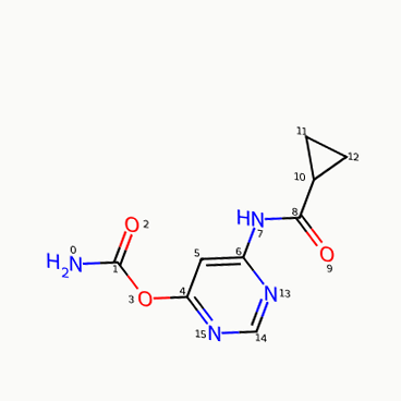 NC(=O)Oc1cc(NC(=O)C2CC2)ncn1